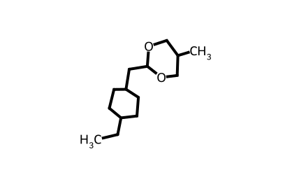 CCC1CCC(CC2OCC(C)CO2)CC1